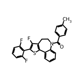 Cc1ccc(C(=O)N2CCc3c(sc(-c4c(F)cccc4F)c3F)-c3ccccc32)cc1